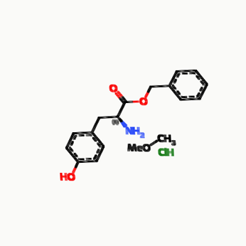 COC.Cl.N[C@@H](Cc1ccc(O)cc1)C(=O)OCc1ccccc1